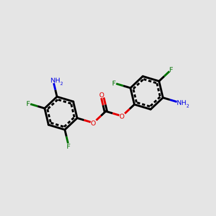 Nc1cc(OC(=O)Oc2cc(N)c(F)cc2F)c(F)cc1F